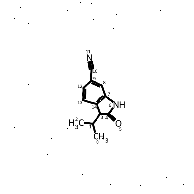 CC(C)C1C(=O)Nc2cc(C#N)ccc21